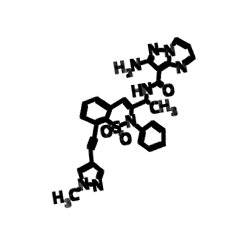 CC(NC(=O)c1c(N)nn2cccnc12)C1=Cc2cccc(C#Cc3cnn(C)c3)c2S(=O)(=O)N1c1ccccc1